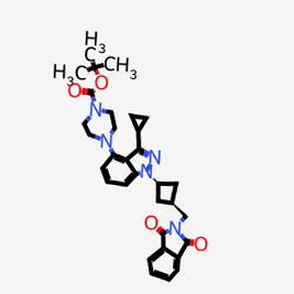 CC(C)(C)OC(=O)N1CCN(c2cccc3c2c(C2CC2)nn3[C@H]2C[C@H](CN3C(=O)c4ccccc4C3=O)C2)CC1